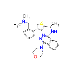 CC(Nc1nnc(N2CCOCC2)c2ccccc12)c1cc(-c2ccccc2CN(C)C)cs1